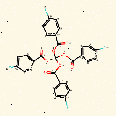 O=C([O][Ti]([O]C(=O)c1ccc(F)cc1)([O]C(=O)c1ccc(F)cc1)[O]C(=O)c1ccc(F)cc1)c1ccc(F)cc1